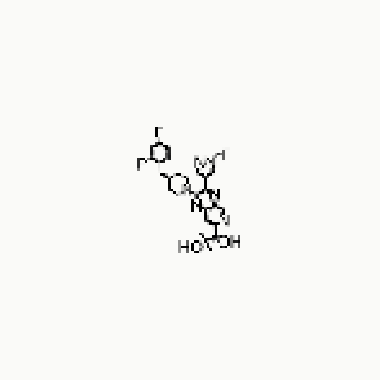 CC(C)(O)[C@H](O)c1cc2nc(N3CCC(=Cc4ccc(F)cc4F)CC3)c(-c3cnn(CF)c3)nc2cn1